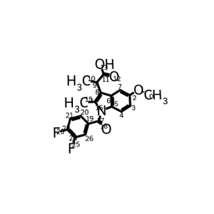 COc1ccc2c(c1)c(C(C)C(=O)O)c(C)n2C(=O)c1ccc(F)c(F)c1